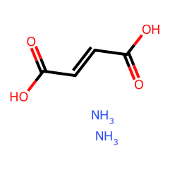 N.N.O=C(O)C=CC(=O)O